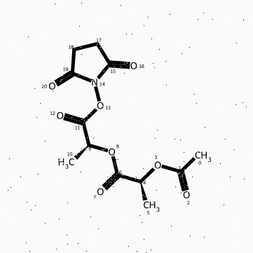 CC(=O)O[C@@H](C)C(=O)O[C@@H](C)C(=O)ON1C(=O)CCC1=O